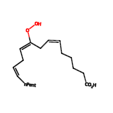 CCCCC/C=C\C/C=C(\C/C=C\CCCCC(=O)O)OO